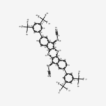 N#C/N=c1\c2cc(-c3cc(C(F)(F)F)cc(C(F)(F)F)c3)ccc2c2nc3/c(=N/C#N)c4cc(-c5cc(C(F)(F)F)cc(C(F)(F)F)c5)ccc4c3nc12